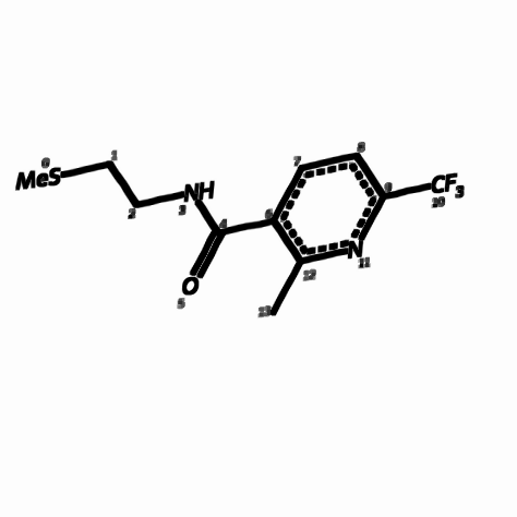 CSCCNC(=O)c1ccc(C(F)(F)F)nc1C